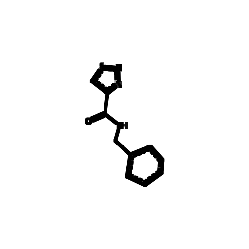 O=C(NCc1ccccc1)c1csnn1